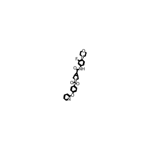 O=C(Nc1ccc(N2CCOCC2)c(F)c1)C1C2CN(S(=O)(=O)c3ccc(Oc4ccccn4)cc3)CC21